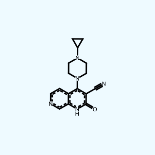 N#Cc1c(N2CCN(C3CC3)CC2)c2ccncc2[nH]c1=O